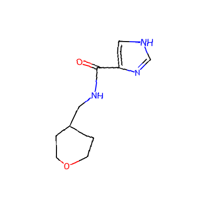 O=C(NCC1CCOCC1)c1c[nH]cn1